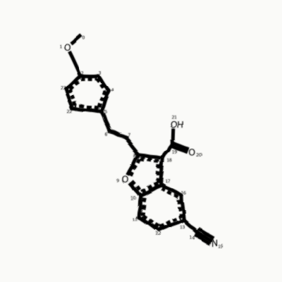 COc1ccc(CCc2oc3ccc(C#N)cc3c2C(=O)O)cc1